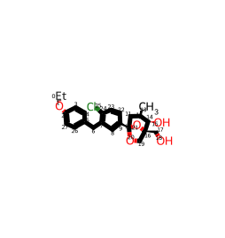 CCOc1ccc(Cc2cc([C@]34C[C@@H](C)[C@H](O)[C@](CO)(CO3)O4)ccc2Cl)cc1